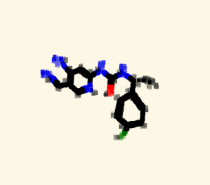 C[C@@H](NC(=O)Nc1cc(N)c(C=N)cn1)c1ccc(F)cc1